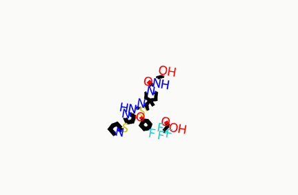 CC1(c2csc(Nc3ncc(Sc4ccccn4)cc3Oc3ccc(F)cc3)n2)CCN(C(=O)NCCO)CC1.O=C(O)C(F)(F)F